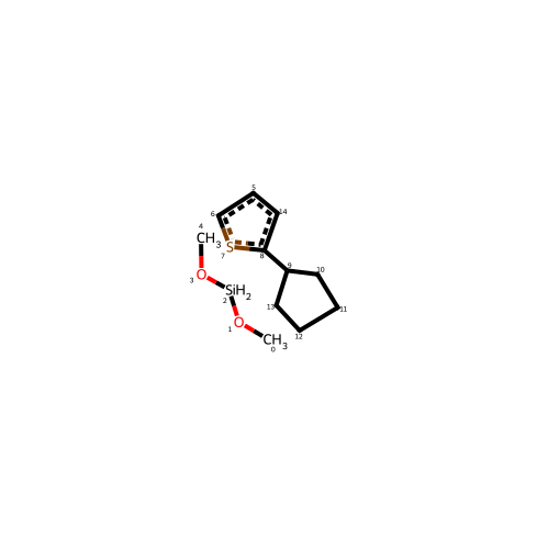 CO[SiH2]OC.c1csc(C2CCCC2)c1